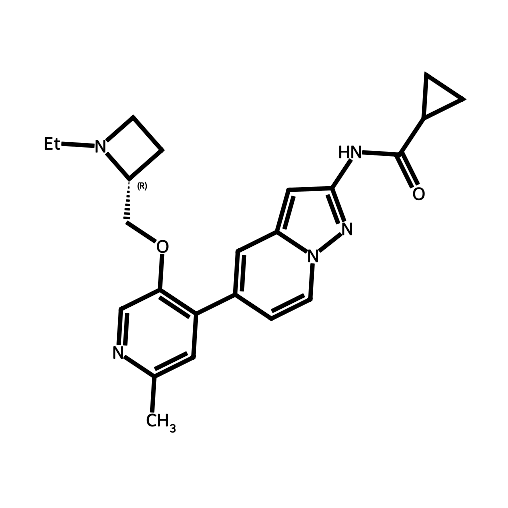 CCN1CC[C@@H]1COc1cnc(C)cc1-c1ccn2nc(NC(=O)C3CC3)cc2c1